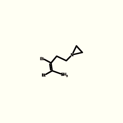 CCC([SiH3])=C(CC)CCN1CC1